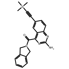 C[Si](C)(C)C#Cc1ccc2nc(N)nc(C(=O)N3Cc4ccccc4C3)c2c1